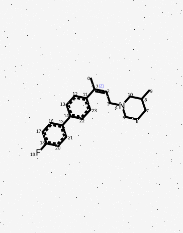 C/C(=C/CN1CCCC(C)C1)c1ccc(-c2ccc(F)cc2)cc1